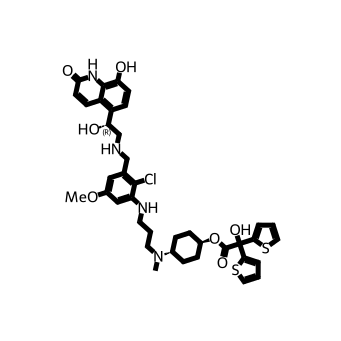 COc1cc(CNC[C@H](O)c2ccc(O)c3[nH]c(=O)ccc23)c(Cl)c(NCCCN(C)[C@H]2CC[C@H](OC(=O)C(O)(c3cccs3)c3cccs3)CC2)c1